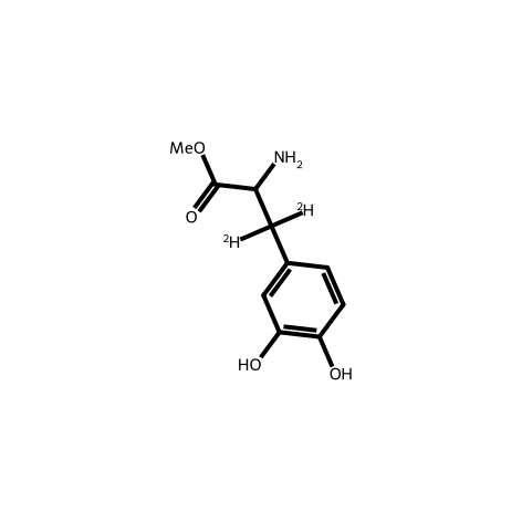 [2H]C([2H])(c1ccc(O)c(O)c1)C(N)C(=O)OC